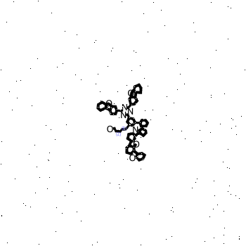 O=C/C=C\C=C\c1cc(-c2nc(-c3ccc4c(c3)oc3ccccc34)nc(-c3ccc4c(c3)oc3ccccc34)n2)cc(-c2ccccc2)c1-n1c2ccccc2c2c3oc4c(ccc5oc6ccccc6c54)c3ccc21